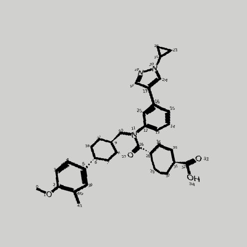 COc1ccc([C@H]2CC[C@H](CN(c3cccc(-c4cnn(C5CC5)c4)c3)C(=O)[C@H]3CC[C@H](C(=O)O)CC3)CC2)cc1C